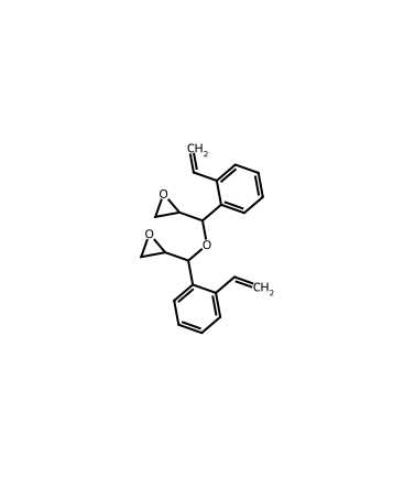 C=Cc1ccccc1C(OC(c1ccccc1C=C)C1CO1)C1CO1